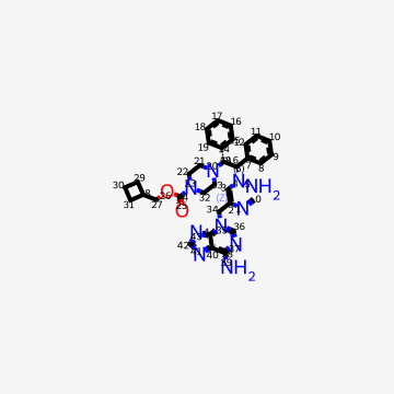 C=N/C(=C\N(N)[C@@H](c1ccccc1)[C@@H](c1ccccc1)N1CCN(C(=O)OCC2CCC2)CC1)Cn1cnc(N)c2ncnc1-2